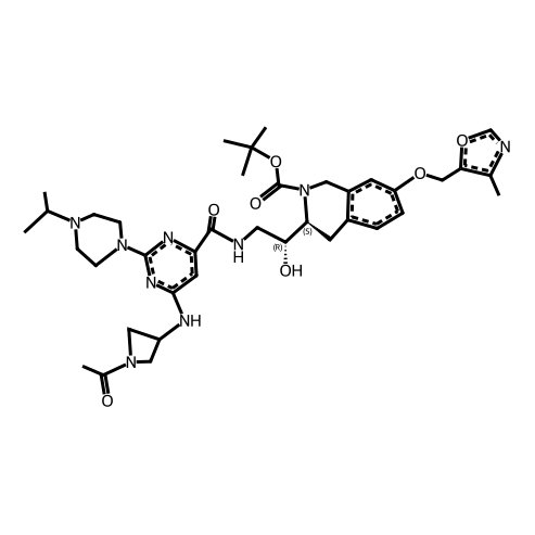 CC(=O)N1CC(Nc2cc(C(=O)NC[C@@H](O)[C@@H]3Cc4ccc(OCc5ocnc5C)cc4CN3C(=O)OC(C)(C)C)nc(N3CCN(C(C)C)CC3)n2)C1